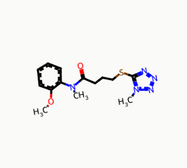 COc1ccccc1N(C)C(=O)CCCSc1nnnn1C